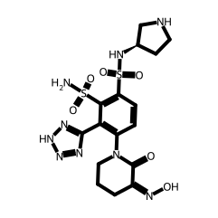 NS(=O)(=O)c1c(S(=O)(=O)N[C@@H]2CCNC2)ccc(N2CCC/C(=N/O)C2=O)c1-c1nn[nH]n1